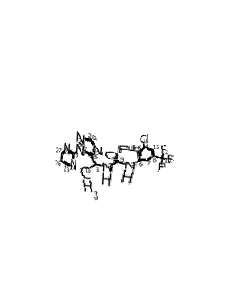 CC(NC(=O)Nc1cc(C(F)(F)F)cc(Cl)c1F)c1ncnn1-c1ncccn1